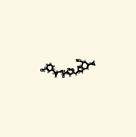 N#Cc1cc(C2CC2)cn2cc(Cn3cc(C(=O)NC4CC4c4cccc(Cl)c4)nn3)nc12